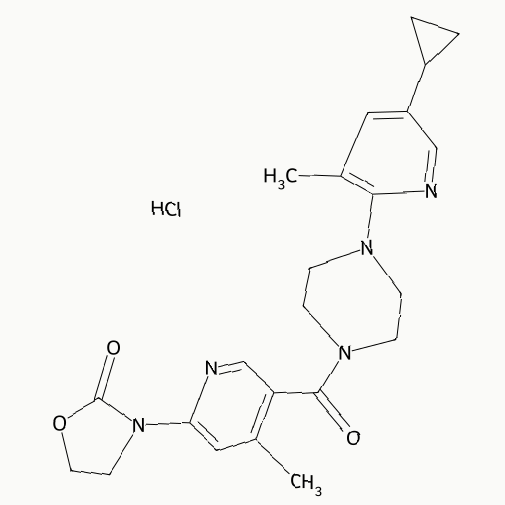 Cc1cc(N2CCOC2=O)ncc1C(=O)N1CCN(c2ncc(C3CC3)cc2C)CC1.Cl